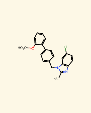 CCCCc1nc2ccc(Cl)cc2n1Cc1ccc(-c2ccccc2OC(=O)O)cc1